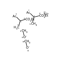 CCOC(=O)C(C)C(C)=O.CCOC(=O)C(C)C(C)=O.C[O-].C[O-].[Ti+2]